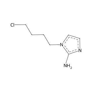 Nc1nccn1CCCCCl